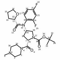 CN1CCN(C(=O)[C@@H]2C[C@H](N(C(=O)[C@@H]3CCCO3)c3ccc(F)cc3F)CN2C(=O)OC(C)(C)C)CC1